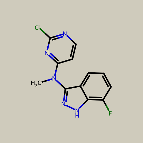 CN(c1ccnc(Cl)n1)c1n[nH]c2c(F)cccc12